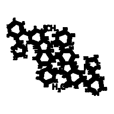 Cc1cc(-c2ccccc2-c2nccs2)cc2c3cccc(-c4cccc5c6cc(-c7cnccc7-c7nccs7)cc(C)c6n(-c6ccccc6)c45)c3n(-c3ccccc3)c12